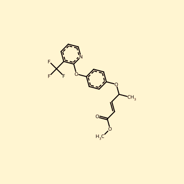 COC(=O)C=CC(C)Oc1ccc(Oc2ncccc2C(F)(F)F)cc1